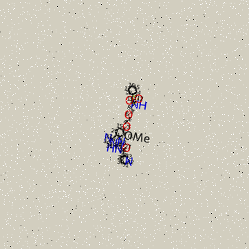 COc1c(OCCOCCNS(=O)(=O)c2ccccc2)ccc2c1N=C(NC(=O)c1cccnc1)N1CCN=C21